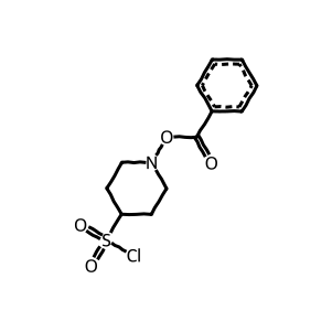 O=C(ON1CCC(S(=O)(=O)Cl)CC1)c1ccccc1